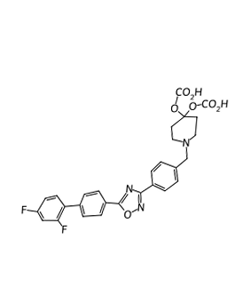 O=C(O)OC1(OC(=O)O)CCN(Cc2ccc(-c3noc(-c4ccc(-c5ccc(F)cc5F)cc4)n3)cc2)CC1